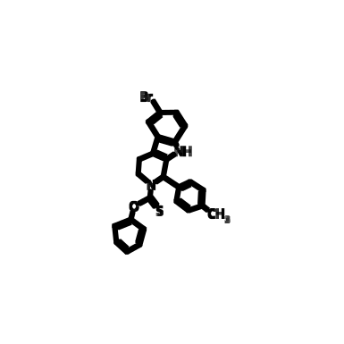 Cc1ccc(C2c3[nH]c4ccc(Br)cc4c3CCN2C(=S)Oc2ccccc2)cc1